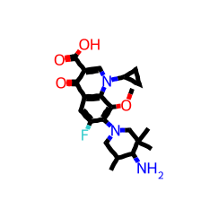 COc1c(N2CC(C)C(N)C(C)(C)C2)c(F)cc2c(=O)c(C(=O)O)cn(C3CC3)c12